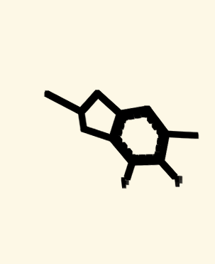 Cc1cc2c(c(F)c1F)CC(C)C2